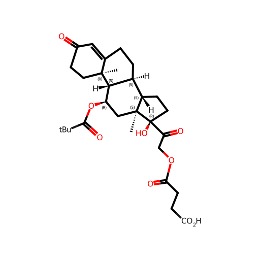 CC(C)(C)C(=O)O[C@@H]1C[C@@]2(C)[C@@H](CC[C@]2(O)C(=O)COC(=O)CCC(=O)O)[C@@H]2CCC3=CC(=O)CC[C@]3(C)[C@H]21